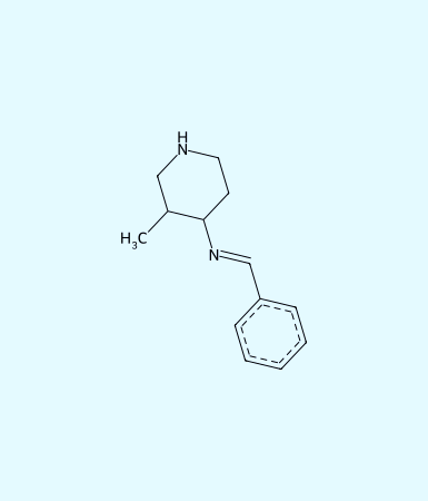 CC1CNCCC1N=Cc1ccccc1